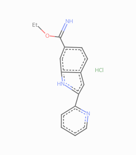 CCOC(=N)c1ccc2cc(-c3ccccn3)[nH]c2c1.Cl